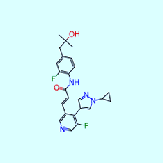 CC(C)(O)Cc1ccc(NC(=O)C=Cc2cncc(F)c2-c2cnn(C3CC3)c2)c(F)c1